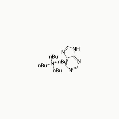 CCCC[N+](CCCC)(CCCC)CCCC.c1ncc2nc[nH]c2n1